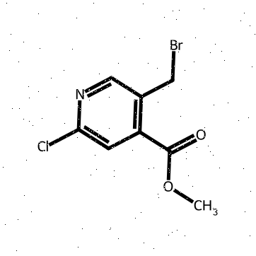 COC(=O)c1cc(Cl)ncc1CBr